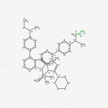 CCC1=Cc2c(-c3ccc(C(C)CC)cc3)cccc2[CH]1[Zr]([CH3])([CH3])(=[SiH2])[CH]1C(C2CCCCC2)=Cc2c(-c3ccc(C(C)C)cc3)cccc21.Cl.Cl